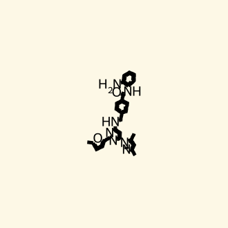 Cc1cc(C)n(-c2cc(NCc3ccc(C(=O)Nc4ccccc4N)cc3)nc(-c3ccc(C)o3)n2)n1